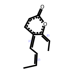 C\C=C/C=c1/ccc(=O)o/c1=C/C